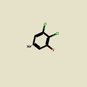 [Na+].[S-]c1cccc(Cl)c1Cl